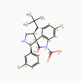 CC(C)(C)C[C@@H]1CN[C@H](c2cccc(Cl)c2)[C@]12C(=O)N(C(=O)O)c1cc(Cl)ccc12